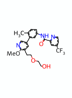 COc1ncc(-c2cc(NC(=O)c3cc(C(F)(F)F)ccn3)ccc2C)cc1CCOCCO